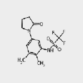 Cc1cc(N2CCCC2=O)cc(NS(=O)(=O)C(F)(F)F)c1C